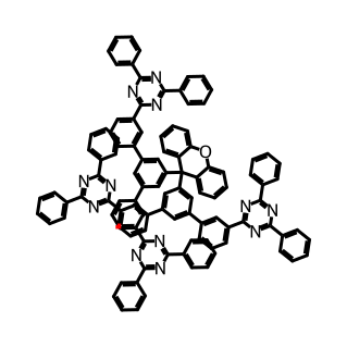 c1ccc(-c2nc(-c3ccccc3)nc(-c3cccc(-c4cc(-c5cccc(-c6nc(-c7ccccc7)nc(-c7ccccc7)n6)c5)cc(C5(c6cc(-c7cccc(-c8nc(-c9ccccc9)nc(-c9ccccc9)n8)c7)cc(-c7cccc(-c8nc(-c9ccccc9)nc(-c9ccccc9)n8)c7)c6)c6ccccc6Oc6ccccc65)c4)c3)n2)cc1